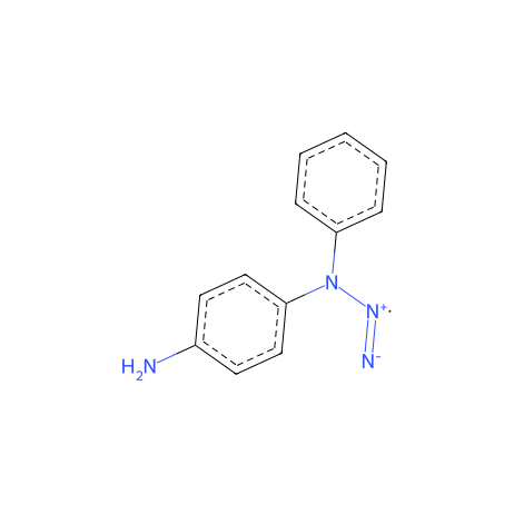 [N-]=[N+]N(c1ccccc1)c1ccc(N)cc1